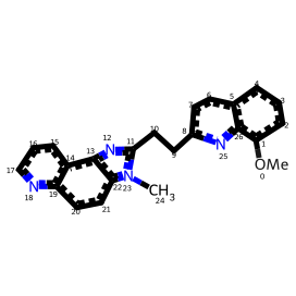 COc1cccc2ccc(CCc3nc4c5cccnc5ccc4n3C)nc12